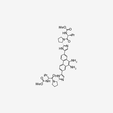 COC(=O)N[C@H](C(=O)N1CCC[C@H]1c1ncc(-c2ccc3c(c2)c(N)c(N)c2cc(-c4cnc([C@@H]5CCCN5C(=O)[C@@H](NC(=O)OC)C(C)C)[nH]4)ccc23)[nH]1)C(C)C